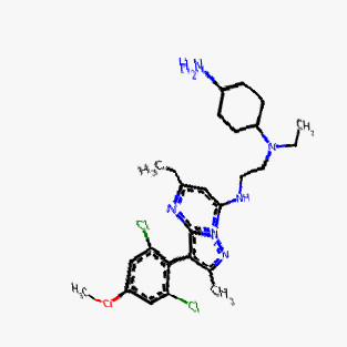 CCN(CCNc1cc(C)nc2c(-c3c(Cl)cc(OC)cc3Cl)c(C)nn12)C1CCC(N)CC1